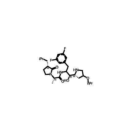 CCCOC1CN[C@@H]([C@@H](O)C(Cc2cc(F)cc(F)c2)NC(=O)[C@H](C)N2CC[C@H](CC(C)C)C2=O)C1